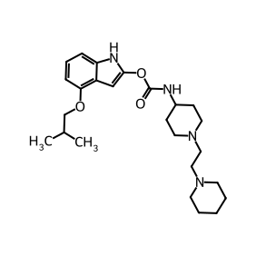 CC(C)COc1cccc2[nH]c(OC(=O)NC3CCN(CCN4CCCCC4)CC3)cc12